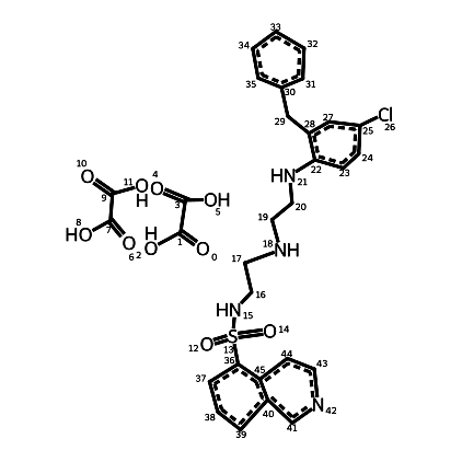 O=C(O)C(=O)O.O=C(O)C(=O)O.O=S(=O)(NCCNCCNc1ccc(Cl)cc1Cc1ccccc1)c1cccc2cnccc12